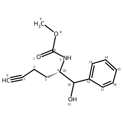 C#CCC[C@H](NC(=O)OC)C(O)c1ccccc1